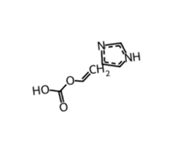 C=COC(=O)O.c1c[nH]cn1